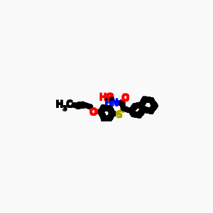 CC#CCOc1ccc(SC(C(=O)NO)c2ccc3ccccc3c2)cc1